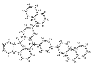 CC1(C)c2ccccc2-c2cccc(N(c3ccc(-c4ccc5c(ccc6ccccc65)c4)cc3)c3cccc(-c4cccc5ccccc45)c3)c21